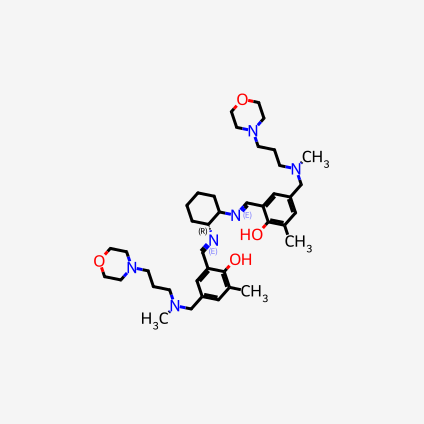 Cc1cc(CN(C)CCCN2CCOCC2)cc(/C=N/C2CCCC[C@H]2/N=C/c2cc(CN(C)CCCN3CCOCC3)cc(C)c2O)c1O